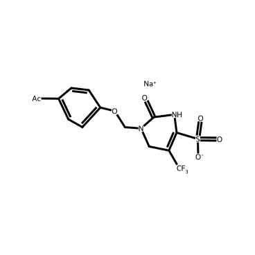 CC(=O)c1ccc(OCN2CC(C(F)(F)F)=C(S(=O)(=O)[O-])NC2=O)cc1.[Na+]